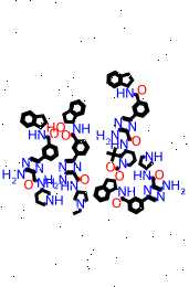 CC(C)(C)C1C(NC(=O)c2nc(-c3cccc(C(=O)N[C@H]4CCc5ccccc54)c3)cnc2N)CCCN1C(=O)O[C@H]1Cc2ccccc2[C@H]1NC(=O)c1cccc(-c2cnc(N)c(C(=O)N[C@H]3CCNC3)n2)c1.CCN1CC[C@H](NC(=O)c2nc(-c3cccc(C(=O)N[C@H]4c5ccccc5C[C@H]4O)c3)cnc2N)C1.Nc1ncc(-c2cccc(C(=O)N[C@H]3CCc4ccccc43)c2)nc1C(=O)NC1CCCNC1